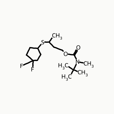 CC(CCOC(=O)N(C)C(C)(C)C)SC1CCC(F)(F)CC1